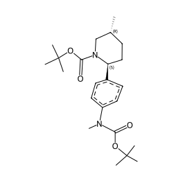 C[C@@H]1CC[C@@H](c2ccc(N(C)C(=O)OC(C)(C)C)cc2)N(C(=O)OC(C)(C)C)C1